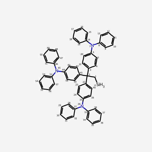 [SiH3]CC(c1ccc(N(c2ccccc2)c2ccccc2)cc1)(c1ccc(N(c2ccccc2)c2ccccc2)cc1)c1ccc(N(c2ccccc2)c2ccccc2)cc1